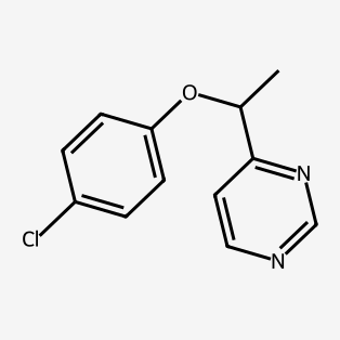 CC(Oc1ccc(Cl)cc1)c1ccncn1